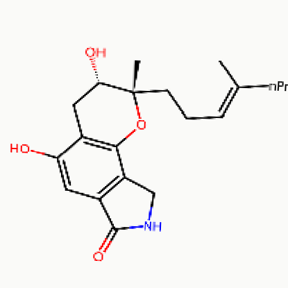 CCC/C(C)=C/CC[C@]1(C)Oc2c(c(O)cc3c2CNC3=O)C[C@@H]1O